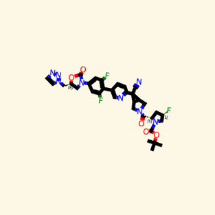 CC(C)(C)OC(=O)N1C[C@@H](F)C[C@H]1C(=O)N1CC2C(C1)C2(C#N)c1ccc(-c2c(F)cc(N3C[C@H](Cn4ccnn4)OC3=O)cc2F)cn1